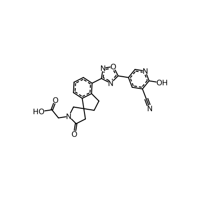 N#Cc1cc(-c2nc(-c3cccc4c3CCC43CC(=O)N(CC(=O)O)C3)no2)cnc1O